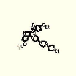 CCOc1ccc(S(=O)(=O)c2cnc3ccc(OC(F)(F)F)cc3c2N2CCC(N3CCN(C4CCN(CC)CC4)CC3)CC2)c(F)c1